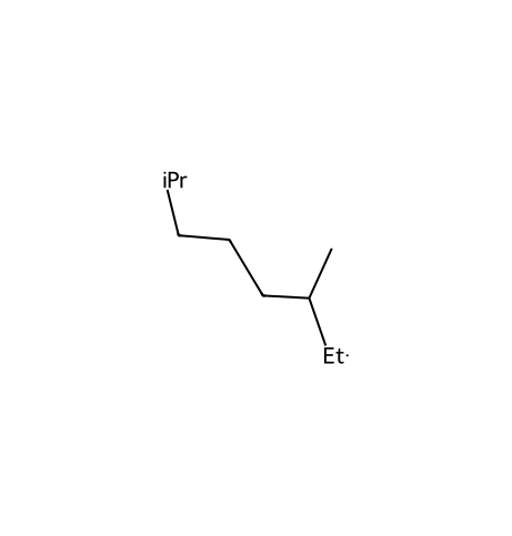 C[CH]C(C)CCCC(C)C